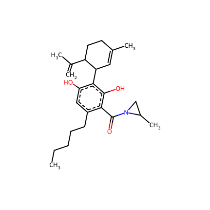 C=C(C)C1CCC(C)=CC1c1c(O)cc(CCCCC)c(C(=O)N2CC2C)c1O